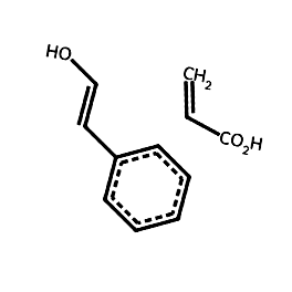 C=CC(=O)O.OC=Cc1ccccc1